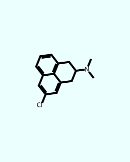 CN(C)C1Cc2cccc3cc(Cl)cc(c23)C1